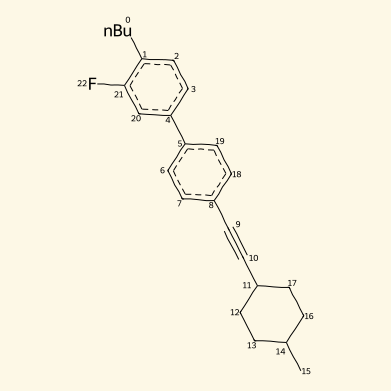 CCCCc1ccc(-c2ccc(C#CC3CCC(C)CC3)cc2)cc1F